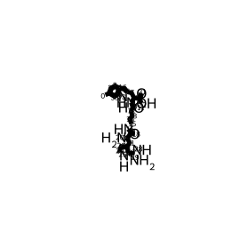 Cc1ccc2cc(CC(NC(=O)CCCCNC(=O)C(N)CC3=CCNC3C(=N)N)C(=O)O)[nH]c2c1